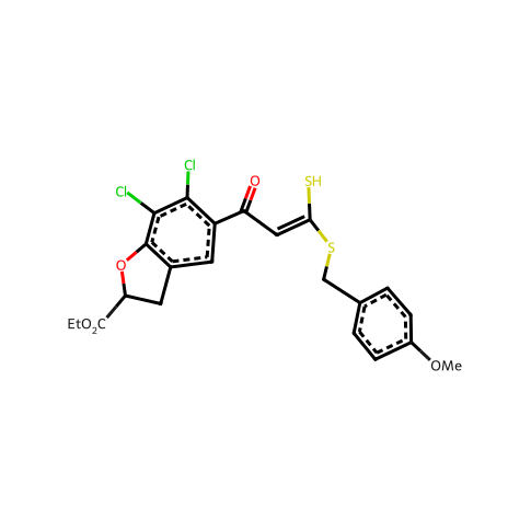 CCOC(=O)C1Cc2cc(C(=O)/C=C(\S)SCc3ccc(OC)cc3)c(Cl)c(Cl)c2O1